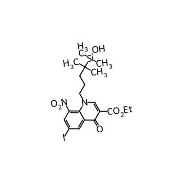 CCOC(=O)c1cn(CCCC(C)(C)[Si](C)(C)O)c2c([N+](=O)[O-])cc(I)cc2c1=O